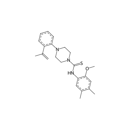 C=C(C)c1ccccc1N1CCN(C(=S)Nc2cc(C)c(C)cc2OC)CC1